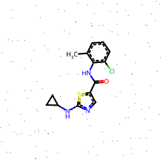 Cc1cccc(Cl)c1NC(=O)c1cnc(NC2CC2)s1